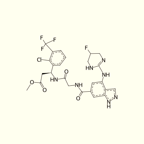 COC(=O)C[C@H](NC(=O)CNC(=O)c1cc(NC2=NCC(F)CN2)c2cn[nH]c2c1)c1cccc(C(F)(F)F)c1Cl